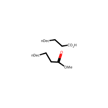 CCCCCCCCCCCCC(=O)O.CCCCCCCCCCCCC(=O)OC